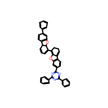 C1=CC2c3ccc(-c4ccccc4)cc3OC2C(C2=c3oc4cc(-c5nc(-c6ccccc6)nc(-c6ccccc6)n5)ccc4c3=CCC2)=C1